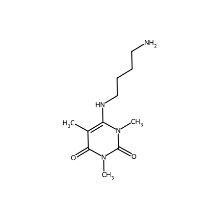 Cc1c(NCCCCN)n(C)c(=O)n(C)c1=O